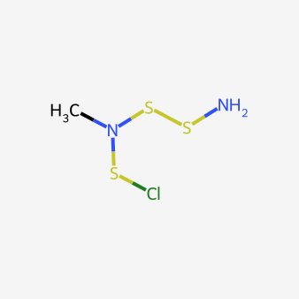 CN(SCl)SSN